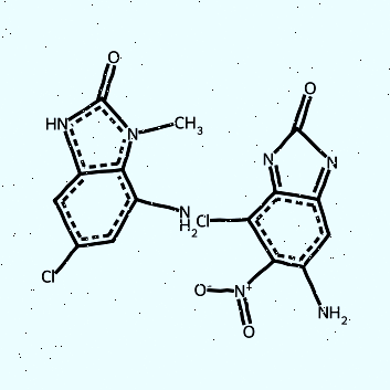 Cn1c(=O)[nH]c2cc(Cl)cc(N)c21.Nc1cc2c(c(Cl)c1[N+](=O)[O-])=NC(=O)N=2